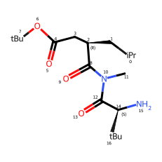 CC(C)C[C@H](CC(=O)OC(C)(C)C)C(=O)N(C)C(=O)[C@@H](N)C(C)(C)C